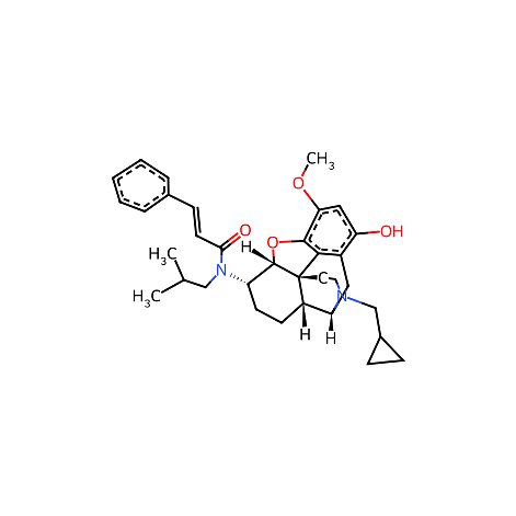 COc1cc(O)c2c3c1O[C@H]1[C@@H](N(CC(C)C)C(=O)C=Cc4ccccc4)CC[C@H]4[C@@H](C2)N(CC2CC2)CC[C@@]341